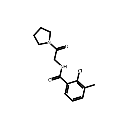 Cc1cccc(C(=O)NCC(=O)N2CCCC2)c1Cl